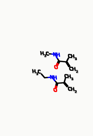 C=C(C)C(=O)NC.C=C(C)C(=O)NCC